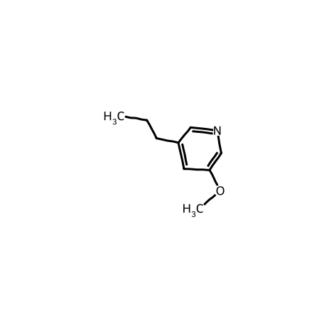 CCCc1cncc(OC)c1